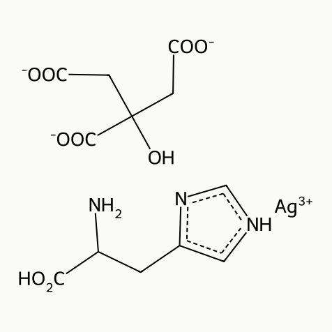 NC(Cc1c[nH]cn1)C(=O)O.O=C([O-])CC(O)(CC(=O)[O-])C(=O)[O-].[Ag+3]